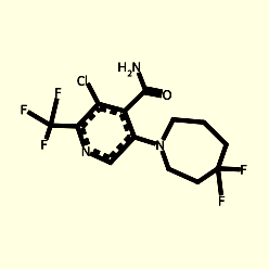 NC(=O)c1c(N2CCCC(F)(F)CC2)cnc(C(F)(F)F)c1Cl